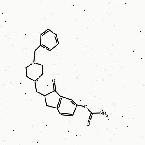 NC(=O)Oc1ccc2c(c1)C(=O)C(CC1CCN(Cc3ccccc3)CC1)C2